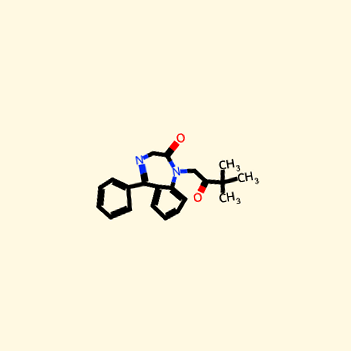 CC(C)(C)C(=O)CN1C(=O)CN=C(c2ccccc2)c2ccccc21